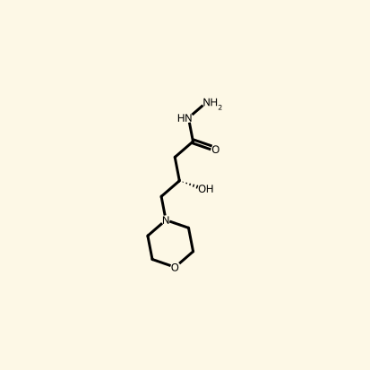 NNC(=O)C[C@H](O)CN1CCOCC1